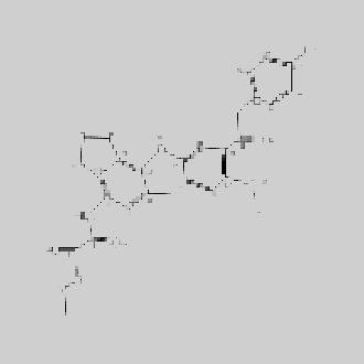 CCOC(=O)C(=O)Nc1cc(C)c(Oc2ccc(OC)c(C(=O)Cc3ccc(F)cc3)c2)c2c1CCC2